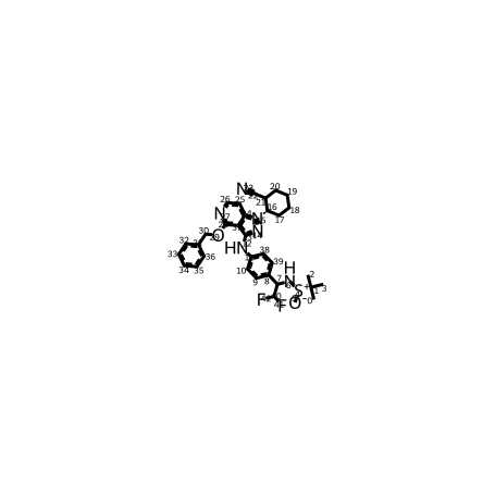 CC(C)(C)[S+]([O-])NC(c1ccc(Nc2nn([C@H]3CCCCC3C#N)c3ccnc(OCc4ccccc4)c23)cc1)C(F)F